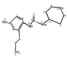 CCCc1cc(O)ccc1NC(=O)NC1CCNCC1